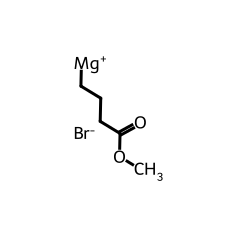 COC(=O)CC[CH2][Mg+].[Br-]